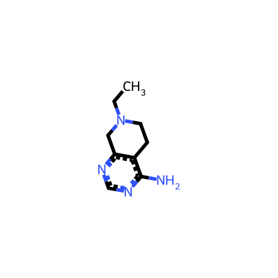 CCN1CCc2c(N)ncnc2C1